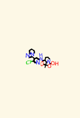 CC(C)(C)C1C(C(=O)Nc2cc(-c3cnc4n3CCCC4)c(Cl)cn2)CCCN1C(=O)O